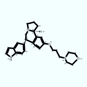 c1cc2cc([C@H]3CN4CCC[C@H]4c4cc(OCCCN5CCOCC5)ccc43)ccc2[nH]1